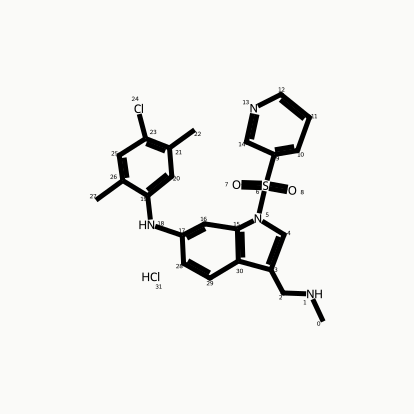 CNCc1cn(S(=O)(=O)c2cccnc2)c2cc(Nc3cc(C)c(Cl)cc3C)ccc12.Cl